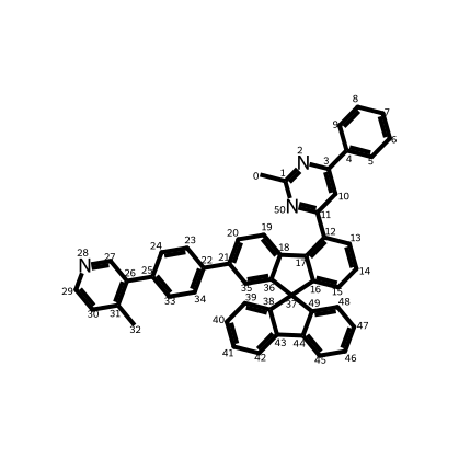 Cc1nc(-c2ccccc2)cc(-c2cccc3c2-c2ccc(-c4ccc(-c5cnccc5C)cc4)cc2C32c3ccccc3-c3ccccc32)n1